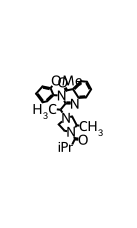 COc1ccccc1-n1c(C(C)N2CCN(C(=O)C(C)C)C(C)C2)nc2ccccc2c1=O